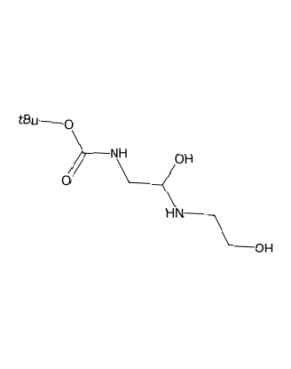 CC(C)(C)OC(=O)NCC(O)NCCO